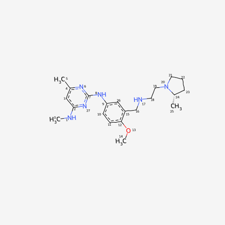 CNc1cc(C)nc(Nc2ccc(OC)c(CNCCN3CCC[C@@H]3C)c2)n1